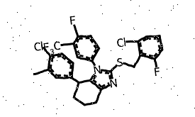 Cc1cc(C2CCCc3nc(SCc4c(F)cccc4Cl)n(-c4ccc(F)c(C(F)(F)F)c4)c32)ccc1Cl